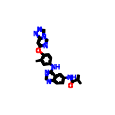 C=C(C)C(=O)Nc1ccc2ncnc(Nc3ccc(Oc4cc5nncn5cn4)c(C)c3)c2c1